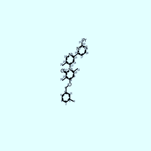 Cc1cccc(COc2cc(C)n(-c3cc(-c4ccnc(C(C)C)n4)ncc3C)c(=O)c2C)c1